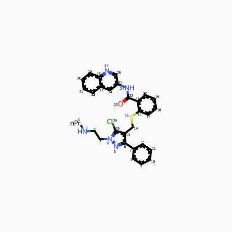 CCCNCCn1nc(-c2ccccc2)c(CSc2ccccc2C(=O)Nc2cnc3ccccc3c2)c1Cl